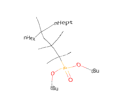 CCCCCCCC(C)(CCCCCC)C(C)(C)C(C)(C)P(=O)(OC(C)(C)C)OC(C)(C)C